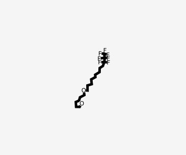 FC(F)(F)C(F)(F)C(F)(F)CCCCCCCCCOCCC1CCCO1